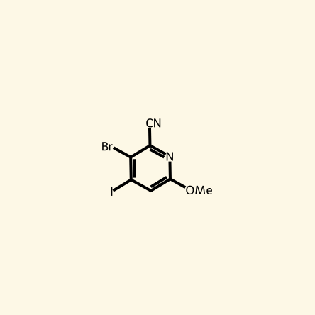 COc1cc(I)c(Br)c(C#N)n1